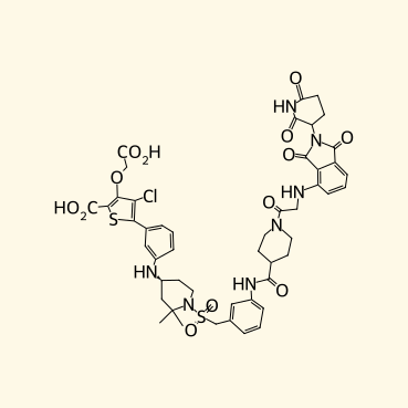 CC1(C)C[C@@H](Nc2cccc(-c3sc(C(=O)O)c(OCC(=O)O)c3Cl)c2)CCN1S(=O)(=O)Cc1cccc(NC(=O)C2CCN(C(=O)CNc3cccc4c3C(=O)N(C3CCC(=O)NC3=O)C4=O)CC2)c1